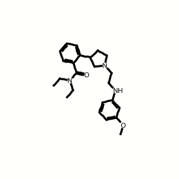 CCN(CC)C(=O)c1ccccc1C1CCN(CCNc2cccc(OC)c2)C1